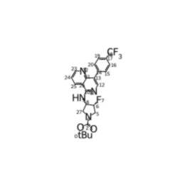 CC(C)(C)OC(=O)N1C[C@H](F)[C@H](Nc2ncc(-c3ccc(C(F)(F)F)cc3)c3ncccc23)C1